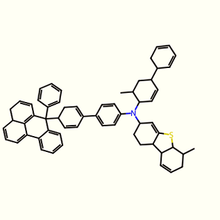 CC1CC=CC2C3CCC(N(c4ccc(C5=CCC(C6(c7ccccc7)C7=C8C(=CC=CC8CC=C7)c7ccccc76)C=C5)cc4)C4C=CC(C5C=CC=CC5)CC4C)C=C3SC12